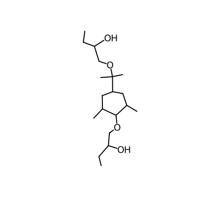 CCC(O)COC1C(C)CC(C(C)(C)OCC(O)CC)CC1C